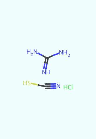 Cl.N#CS.N=C(N)N